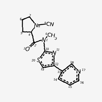 CN(C(=O)C1CCCN1C#N)c1nc(-c2cccnc2)cs1